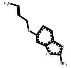 NC=CCSc1ccc2nc(N)[nH]c2c1